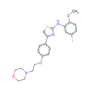 COc1ccc(F)cc1Nc1nc(-c2ccc(OCCN3CCOCC3)cc2)cs1